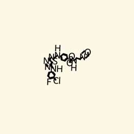 O=S(=O)(NCCN1CCOCC1)c1ccc(Nc2nc3ncnc(Nc4ccc(F)c(Cl)c4)c3s2)cc1